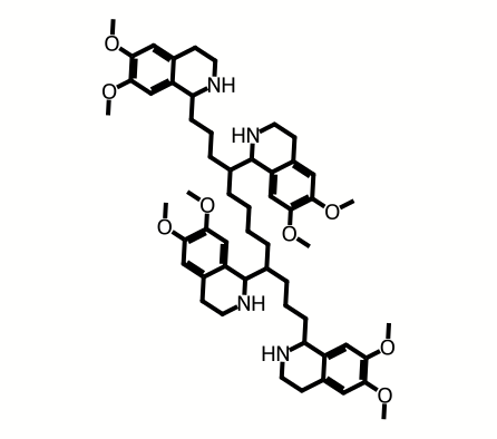 COc1cc2c(cc1OC)C(CCCC(CCCCC(CCCC1NCCc3cc(OC)c(OC)cc31)C1NCCc3cc(OC)c(OC)cc31)C1NCCc3cc(OC)c(OC)cc31)NCC2